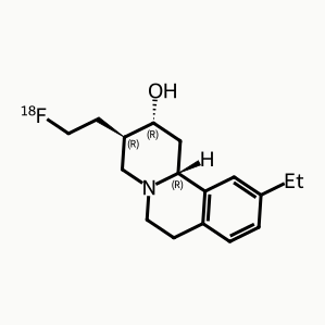 CCc1ccc2c(c1)[C@H]1C[C@@H](O)[C@H](CC[18F])CN1CC2